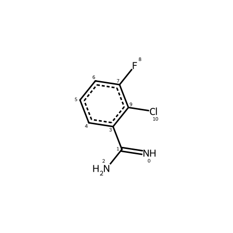 N=C(N)c1cccc(F)c1Cl